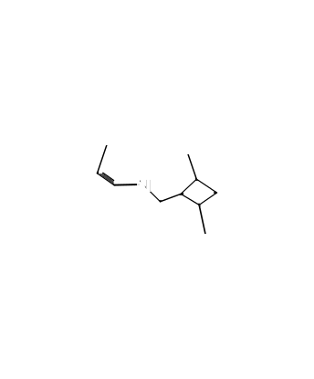 C/C=C\NCC1C(C)CC1C